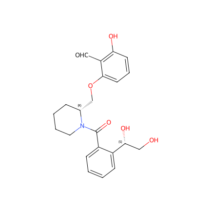 O=Cc1c(O)cccc1OC[C@H]1CCCCN1C(=O)c1ccccc1[C@H](O)CO